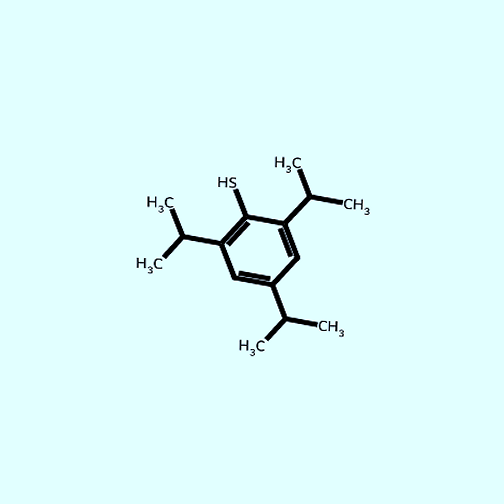 CC(C)c1cc(C(C)C)c(S)c(C(C)C)c1